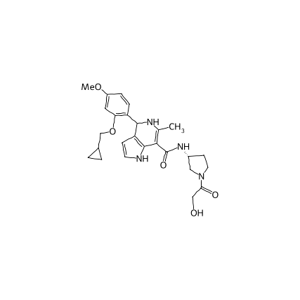 COc1ccc(C2NC(C)=C(C(=O)N[C@@H]3CCN(C(=O)CO)C3)c3[nH]ccc32)c(OCC2CC2)c1